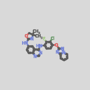 CC1(C)COC(Nc2ccc3ncnc(Nc4ccc(Oc5nc6ccccn6n5)c(Cl)c4F)c3c2)=N1